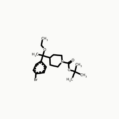 CCOC(C)(c1ccc(Br)cc1)C1CCN(C(=O)OC(C)(C)C)CC1